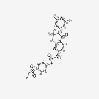 CCS(=O)(=O)c1ccc(CC(=O)Nc2ccc3c(n2)CC(C)(C)C(c2cc(C)nc(C)n2)C3=O)cc1